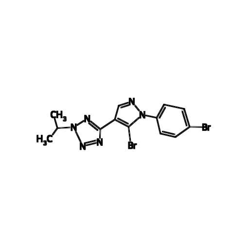 CC(C)n1nnc(-c2cnn(-c3ccc(Br)cc3)c2Br)n1